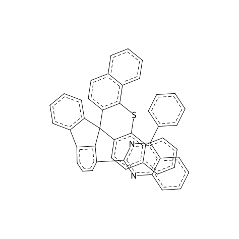 c1ccc(-c2nc(-c3cccc4c3C3(c5ccccc5-4)c4ccc5ccccc5c4Sc4c3ccc3ccccc43)nc3ccccc23)cc1